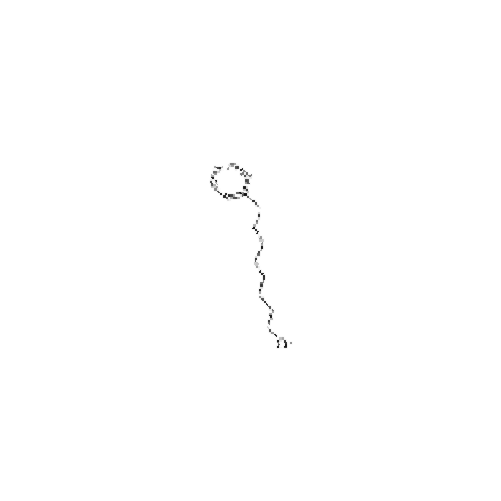 [O]CCCCCCCCc1ccccc1